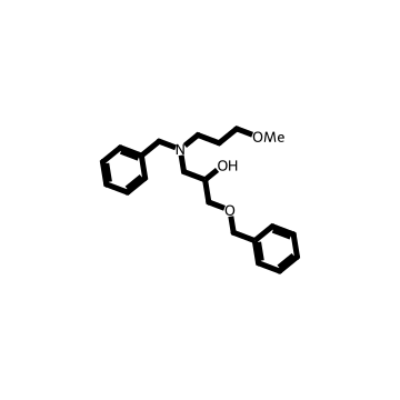 COCCCN(Cc1ccccc1)CC(O)COCc1ccccc1